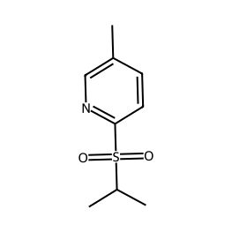 Cc1ccc(S(=O)(=O)C(C)C)nc1